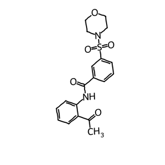 CC(=O)c1ccccc1NC(=O)c1cccc(S(=O)(=O)N2CCOCC2)c1